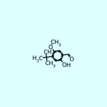 COc1cc(C=O)c(O)cc1C(C)(C)C